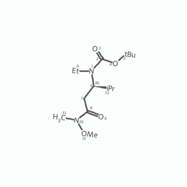 CCN(C(=O)OC(C)(C)C)[C@H](CC(=O)N(C)OC)C(C)C